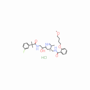 COCCCCOc1ccccc1C(=O)NC[C@@H](C[C@H](N)[C@@H](O)CNC(=O)C(C)(C)c1cccc(F)c1)C(C)C.Cl